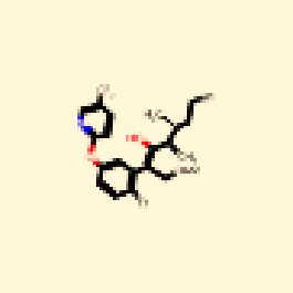 CCc1ccc(Oc2ccc(C(F)(F)F)cn2)cc1/C(COC)=C(\O)C(C)[C@@H](C)CCC(C)C